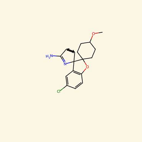 COC1CCC2(CC1)Oc1ccc(Cl)cc1C21N=C(N)c2ccccc21